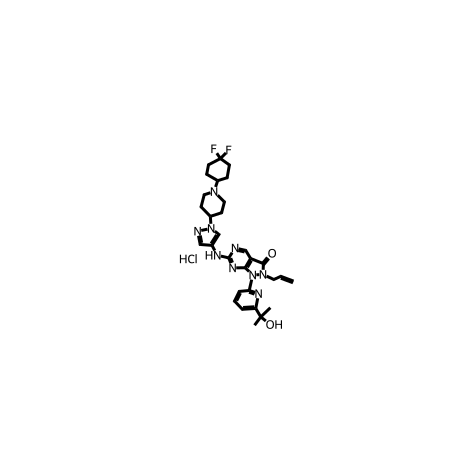 C=CCn1c(=O)c2cnc(Nc3cnn(C4CCN(C5CCC(F)(F)CC5)CC4)c3)nc2n1-c1cccc(C(C)(C)O)n1.Cl